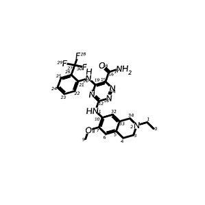 CCN1CCc2cc(OC)c(Nc3nnc(C(N)=O)c(Nc4ccccc4C(F)(F)F)n3)cc2C1